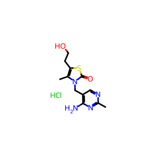 Cc1ncc(Cn2c(C)c(CCO)sc2=O)c(N)n1.Cl